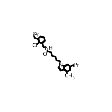 Cc1cc(C(C)C)cc2c1ccn2CCCCCC(=O)NCc1cccc(CC(C)C)c1Cl